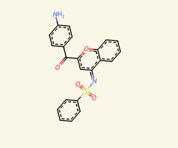 Nc1ccc(C(=O)c2cc(=NS(=O)(=O)c3ccccc3)c3ccccc3o2)cc1